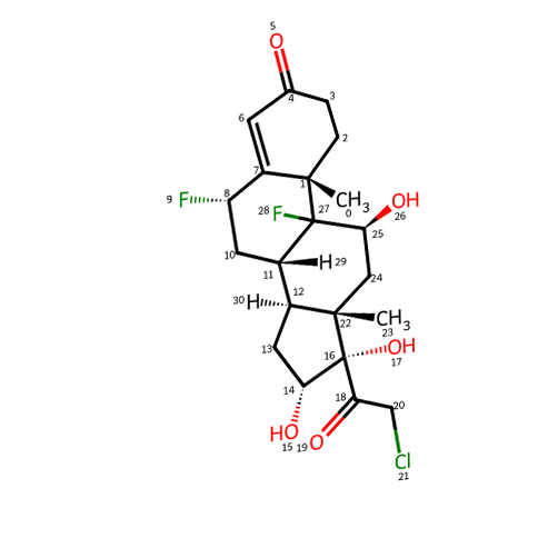 C[C@]12CCC(=O)C=C1[C@@H](F)C[C@H]1[C@@H]3C[C@@H](O)[C@](O)(C(=O)CCl)[C@@]3(C)C[C@H](O)C12F